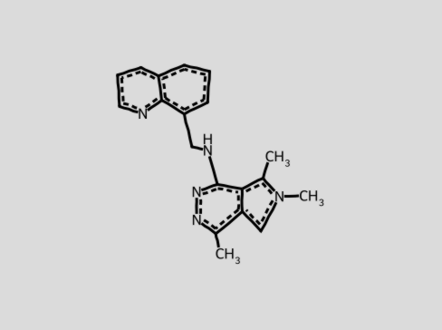 Cc1nnc(NCc2cccc3cccnc23)c2c(C)n(C)cc12